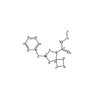 CCOC(=O)C1CN(Cc2ccccc2)CC12CCC2